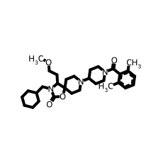 COCCC1N(CC2CCCCC2)C(=O)OC12CCN(C1CCN(C(=O)c3c(C)cccc3C)CC1)CC2